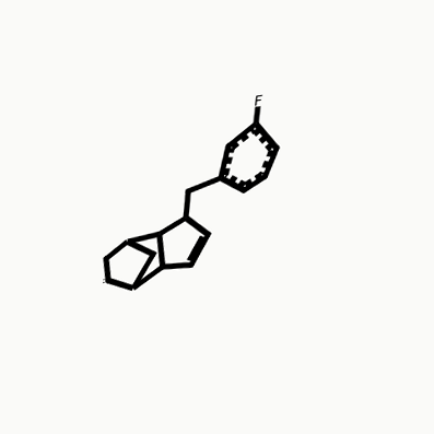 Fc1cccc(CC2C=CC3C4[C]CC(C4)C23)c1